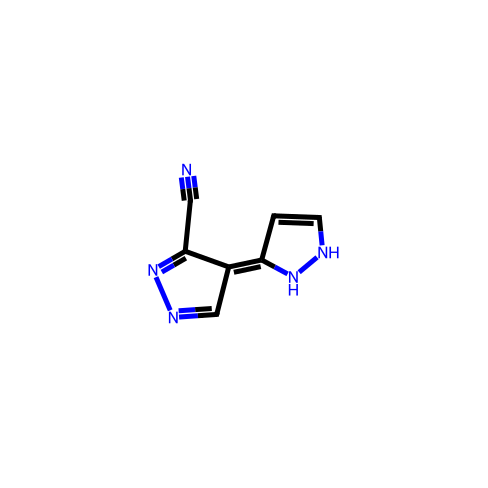 N#CC1=NN=CC1=C1C=CNN1